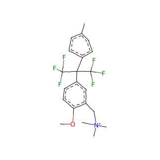 COc1ccc(C(c2ccc(C)cc2)(C(F)(F)F)C(F)(F)F)cc1C[N+](C)(C)C